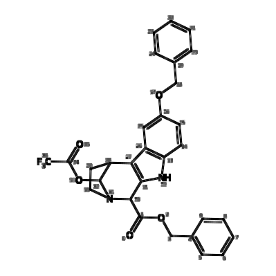 O=C(OCc1ccccc1)C1c2[nH]c3ccc(OCc4ccccc4)cc3c2C2CCN1C2OC(=O)C(F)(F)F